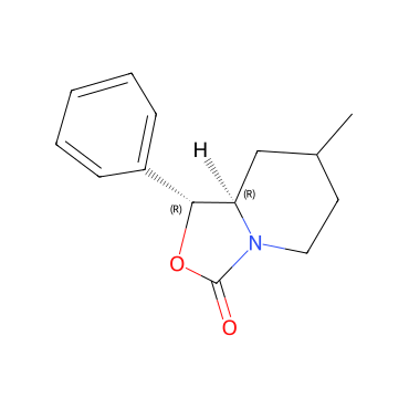 CC1CCN2C(=O)O[C@H](c3ccccc3)[C@H]2C1